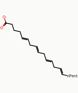 CCCCCC=CCC=CCC=CCC=CCCCC([O])=O